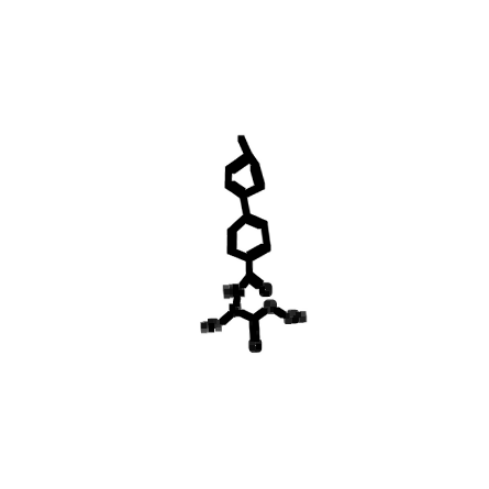 CCCN(NC(=O)c1ccc(-c2ccc(C)cc2)cc1)C(=O)OC(C)(C)C